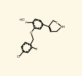 Cl.Fc1cc(Cl)ccc1COc1cc(C2=CCNCC2)ccc1F